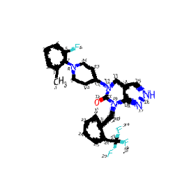 Cc1cccc(F)c1N1CCC(N2Cc3c[nH]nc3N(Cc3ccccc3C(F)(F)F)C2=O)CC1